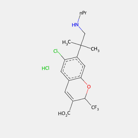 CCCNCC(C)(C)c1cc2c(cc1Cl)C=C(C(=O)O)C(C(F)(F)F)O2.Cl